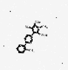 CSc1c(C#N)c(-c2ccc(-c3ccccc3C)cc2)c(C(=O)O)n1C